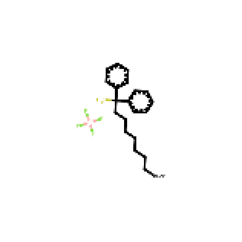 CCCCCCCCCCCCCCCCCC([SH2+])(c1ccccc1)c1ccccc1.F[B-](F)(F)F